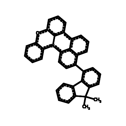 CC1(C)c2ccccc2-c2c(-c3ccc4c5c3cccc5c3cccc5oc6ccccc6n4-c53)cccc21